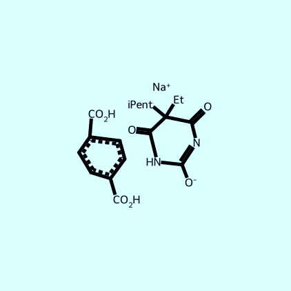 CCCC(C)C1(CC)C(=O)N=C([O-])NC1=O.O=C(O)c1ccc(C(=O)O)cc1.[Na+]